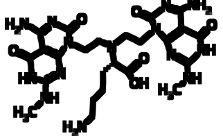 CNc1nc2c(c(N)nc(=O)n2CCN(CCn2c(=O)nc(N)c3c(=O)[nH]c(NC)nc32)[C@@H](CCCCN)C(=O)O)c(=O)[nH]1